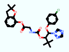 CC1(C)Cc2cccc(OC(=O)CNC(=O)OC(C(Oc3ccc(Cl)cc3)n3cncn3)C(C)(C)C)c2O1